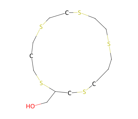 OCC1CSCCCSCCSCCSCCCS1